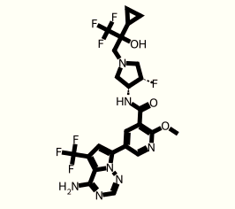 COc1ncc(-c2cc(C(F)(F)F)c3c(N)ncnn23)cc1C(=O)N[C@@H]1CN(CC(O)(C2CC2)C(F)(F)F)C[C@@H]1F